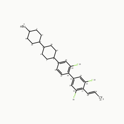 CCCCC1CCC(C2CCC(c3ccc(-c4cc(F)c(/C=C/C(F)(F)F)c(F)c4)c(F)c3)CC2)CC1